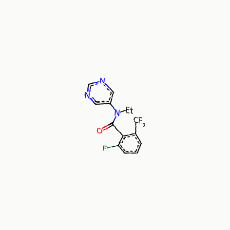 CCN(C(=O)c1c(F)cccc1C(F)(F)F)c1cncnc1